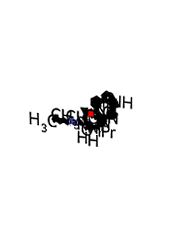 CC(C)=CCC/C(C)=C/CN[C@H]1Cc2ccc3c(c2)C24c5cccc(c5NC2O3)-c2cccc3[nH]cc(c23)-c2cnc(o2)-c2nc(oc24)[C@H](C(C)C)NC1=O